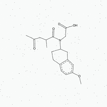 COc1ccc2c(c1)CC(N(CC(=O)O)C(=O)C(C)CC(C)=O)CC2